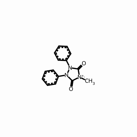 C[N+]1C(=O)N(c2ccccc2)N(c2ccccc2)C1=O